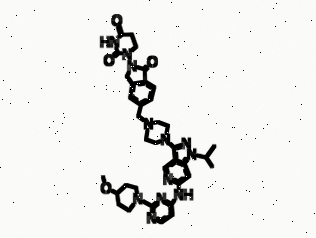 COC1CCN(c2nccc(Nc3cc4c(cn3)c(N3CCN(Cc5ccc6c(c5)CN(N5CCC(=O)NC5=O)C6=O)CC3)nn4C(C)C)n2)CC1